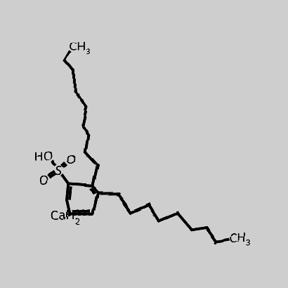 CCCCCCCCCc1cccc(S(=O)(=O)O)c1CCCCCCCCC.[CaH2]